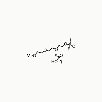 COCCOCCOCCOP(=O)(F)I.O=P(O)(F)I